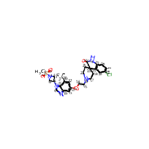 CS(=O)(=O)N1CC(n2cnc3cc(OCCN4CCC5(CC4)C(=O)Nc4ccc(Cl)cc45)cc(C(F)(F)F)c32)C1